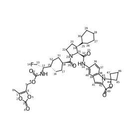 Cc1oc(=O)oc1COC(=O)N[C@H](CF)[C@H]1CC[C@H](C(=O)N2CC[C@@H](C3CCCCC3)[C@H]2C(=O)Nc2ccc3c(c2)cc2n3C3(CCC3)OC2=O)CC1